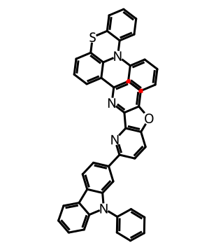 c1ccc(N2c3ccccc3Sc3cccc(-c4ccc5oc6ccc(-c7ccc8c9ccccc9n(-c9ccccc9)c8c7)nc6c5n4)c32)cc1